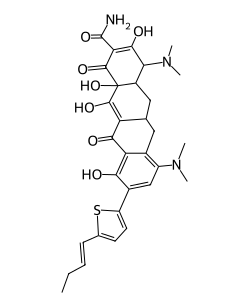 CC/C=C/c1ccc(-c2cc(N(C)C)c3c(c2O)C(=O)C2=C(O)C4(O)C(=O)C(C(N)=O)=C(O)C(N(C)C)C4CC2C3)s1